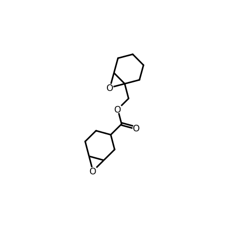 O=C(OCC12CCCCC1O2)C1CCC2OC2C1